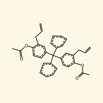 C=CCc1cc(C(c2ccccc2)(c2ccccc2)c2ccc(OC(C)=O)c(CC=C)c2)ccc1OC(C)=O